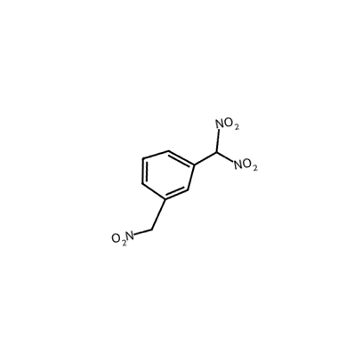 O=[N+]([O-])Cc1cccc(C([N+](=O)[O-])[N+](=O)[O-])c1